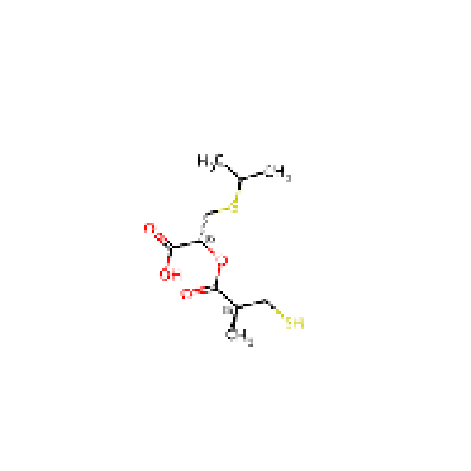 CC(C)SC[C@H](OC(=O)[C@H](C)CS)C(=O)O